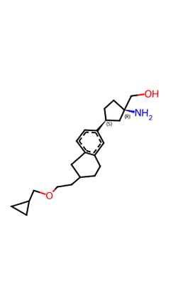 N[C@]1(CO)CC[C@H](c2ccc3c(c2)CCC(CCOCC2CC2)C3)C1